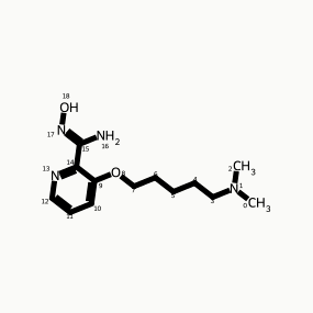 CN(C)CCCCCOc1cccnc1C(N)=NO